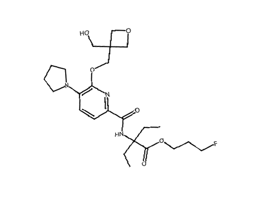 CCC(CC)(NC(=O)c1ccc(N2CCCC2)c(OCC2(CO)COC2)n1)C(=O)OCCCF